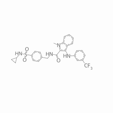 Cn1c(C(=O)NCc2ccc(S(=O)(=O)NC3CC3)cc2)c(Nc2cccc(C(F)(F)F)c2)c2ccccc21